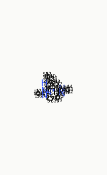 C[N+]1=C(c2ccccc2)N=C(c2ccccc2)NC1c1ccc(-c2c(-c3ccc(-c4cc(-c5ccccc5)nc(-c5ccccc5)n4)cc3)ccc3ccccc23)cc1